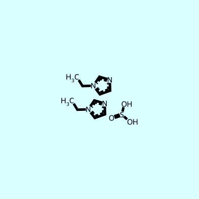 CCn1ccnc1.CCn1ccnc1.O=S(O)O